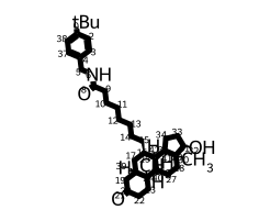 CC(C)(C)c1ccc(CNC(=O)CCCCCCC[C@@H]2C[C@H]3CC(=O)CC[C@]3(C)[C@H]3CC[C@]4(C)[C@@H](O)CC[C@H]4[C@H]23)cc1